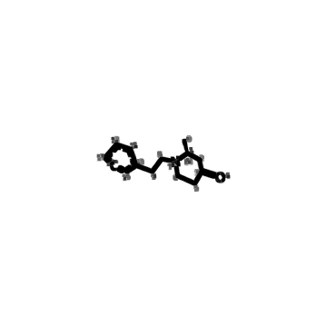 C[C@H]1CC(=O)CCN1CCc1ccccc1